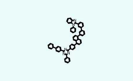 c1ccc(-c2ccc(-c3nc(-c4ccccc4)nc(-c4ccc(-c5cccc6c(-c7cccc(-c8cccc(-c9nc%10ccccc%10n9-c9ccccc9)c8)c7)cccc56)cc4)n3)cc2)cc1